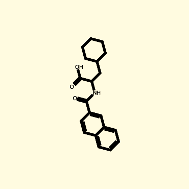 O=C(NC(CC1CCCCC1)C(=O)O)c1ccc2ccccc2c1